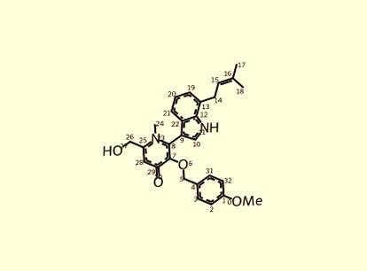 COc1ccc(COc2c(-c3c[nH]c4c(CC=C(C)C)cccc34)n(C)c(CO)cc2=O)cc1